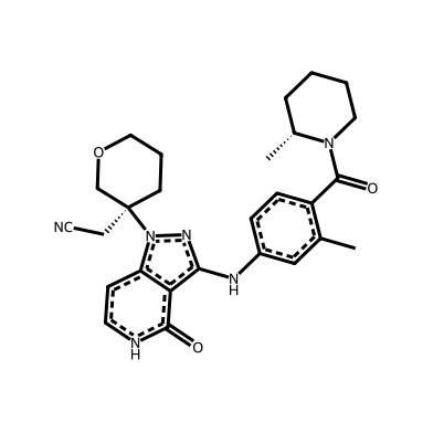 Cc1cc(Nc2nn([C@]3(CC#N)CCCOC3)c3cc[nH]c(=O)c23)ccc1C(=O)N1CCCC[C@H]1C